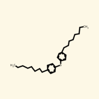 CCCCCCCCc1ccc(Sc2ccc(CCCCCCCC)cc2)cc1